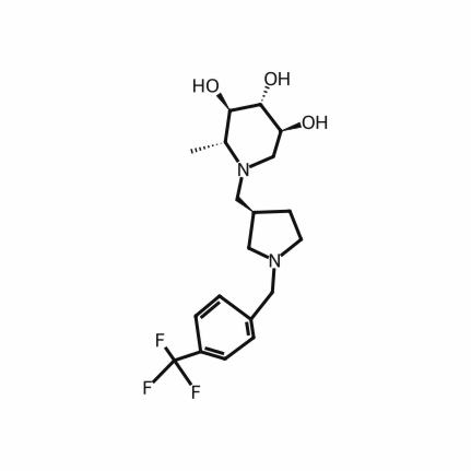 C[C@@H]1[C@@H](O)[C@H](O)[C@@H](O)CN1C[C@H]1CCN(Cc2ccc(C(F)(F)F)cc2)C1